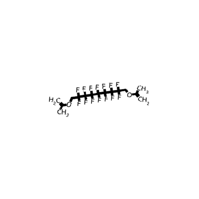 C=C(C)OCC(F)(F)C(F)(F)C(F)(F)C(F)(F)C(F)(F)C(F)(F)C(F)(F)COC(=C)C